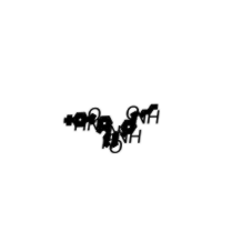 CCCCNC(=O)c1ccc(Nc2nc(-c3cccc(NC(=O)c4ccc(C(C)(C)C)cc4)c3C)cn(C)c2=O)cc1